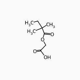 CCC(C)(C)C(=O)OCC(=O)O